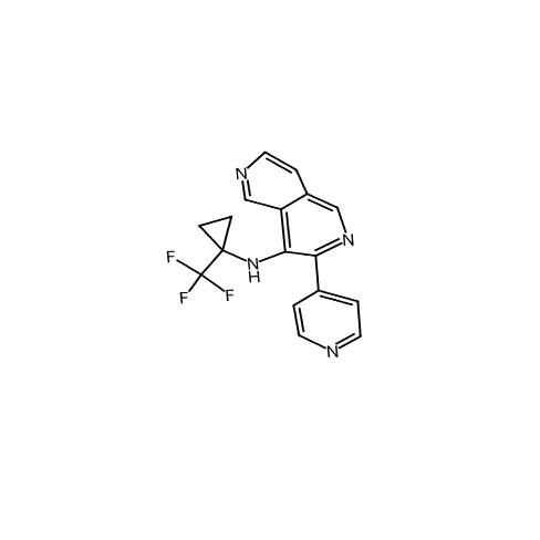 FC(F)(F)C1(Nc2c(-c3ccncc3)ncc3ccncc23)CC1